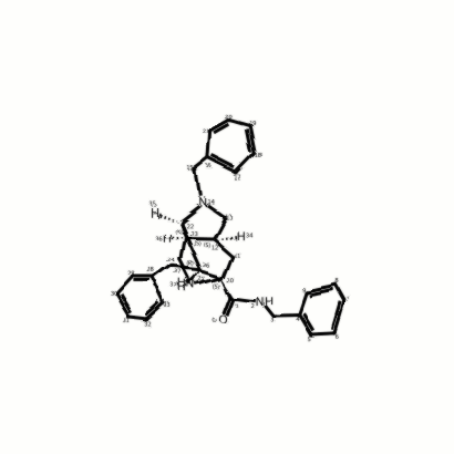 O=C(NCc1ccccc1)[C@@]12C[C@@H]3CN(Cc4ccccc4)[C@@H]([C@@H]3CN1)[C@H]2Cc1ccccc1